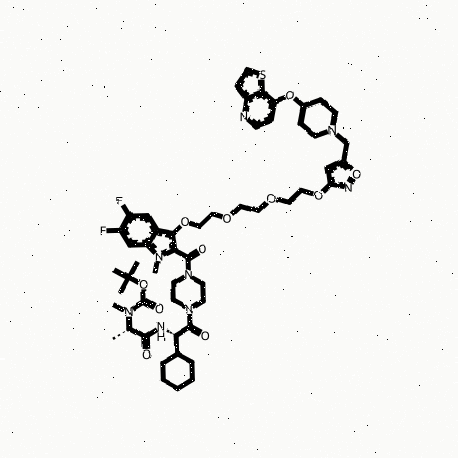 C[C@@H](C(=O)N[C@H](C(=O)N1CCN(C(=O)c2c(OCCOCCOCCOc3cc(CN4CCC(Oc5ccnc6ccsc56)CC4)on3)c3cc(F)c(F)cc3n2C)CC1)C1CCCCC1)N(C)C(=O)OC(C)(C)C